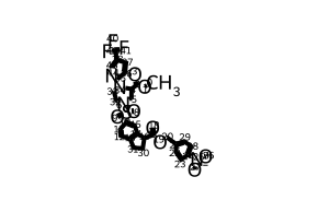 COC(=O)C1CN(S(=O)(=O)c2ccc3c(c2)C(C(=O)OCc2ccc([N+](=O)[O-])cc2)CC3)CCN1c1ccc(C(F)(F)F)cn1